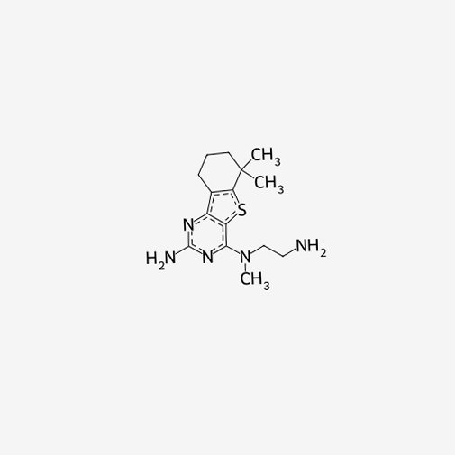 CN(CCN)c1nc(N)nc2c3c(sc12)C(C)(C)CCC3